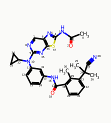 CC(=O)Nc1nc2cnc(N(c3cccc(NC(=O)c4cccc(C(C)(C)C#N)c4C)c3)C3CC3)nc2s1